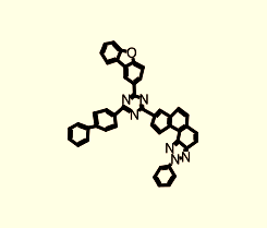 c1ccc(-c2ccc(-c3nc(-c4ccc5c(ccc6ccc7nn(-c8ccccc8)nc7c65)c4)nc(-c4ccc5oc6ccccc6c5c4)n3)cc2)cc1